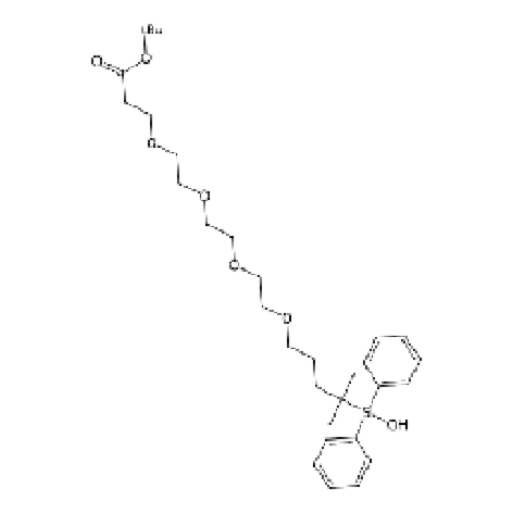 CC(C)(C)OC(=O)CCOCCOCCOCCOCCCC(C)(C)[Si](O)(c1ccccc1)c1ccccc1